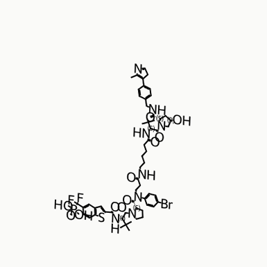 CC1=C(c2ccc(CNC(=O)[C@@H]3C[C@@H](O)CN3C(=O)[C@@H](NC(=O)CCCCCNC(=O)CCN(C(=O)[C@@H]3CCCN3C(=O)[C@@H](NC(=O)c3cc4cc(C(F)(F)P(=O)(O)O)ccc4s3)C(C)(C)C)c3ccc(Br)cc3)C(C)(C)C)cc2)CC=N1